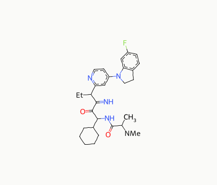 CCC(C(=N)C(=O)C(NC(=O)C(C)NC)C1CCCCC1)c1cc(N2CCc3ccc(F)cc32)ccn1